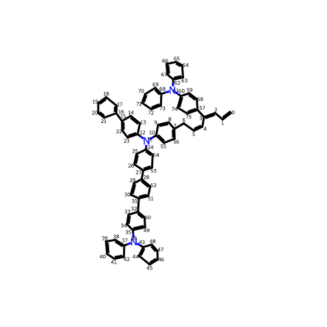 C=C/C=C(\C=C/Cc1ccc(N(c2ccc(-c3ccccc3)cc2)c2ccc(-c3ccc(-c4ccc(N(c5ccccc5)c5ccccc5)cc4)cc3)cc2)cc1)c1ccc(N(c2ccccc2)c2ccccc2)cc1